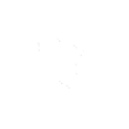 C=C(CN1CCC(F)(C(=O)Nc2ccc3[nH]nc(-c4ccc(F)cc4)c3c2)C1)N1CCN(c2ccc(-c3ncccn3)cn2)C[C@H]1C